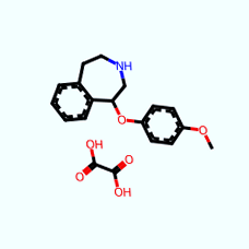 COc1ccc(OC2CNCCc3ccccc32)cc1.O=C(O)C(=O)O